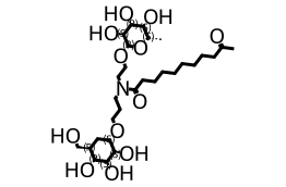 CC(=O)CCCCCCCCC(=O)N(CCCO[C@H]1C[C@H](CO)[C@@H](O)[C@H](O)[C@@H]1O)CCO[C@@H]1O[C@@H](C)[C@@H](O)[C@@H](O)[C@@H]1O